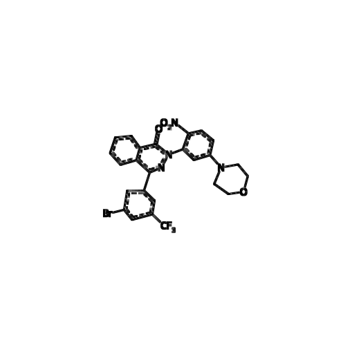 O=c1c2ccccc2c(-c2cc(Br)cc(C(F)(F)F)c2)nn1-c1cc(N2CCOCC2)ccc1[N+](=O)[O-]